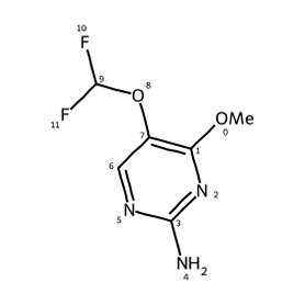 COc1nc(N)ncc1OC(F)F